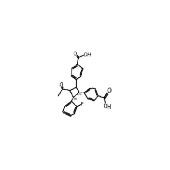 CC(=O)C1C(c2ccc(C(=O)O)cc2)[C@H](c2ccc(C(=O)O)cc2)[C@H]1c1ccccc1F